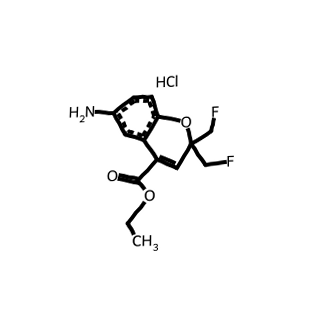 CCOC(=O)C1=CC(CF)(CF)Oc2ccc(N)cc21.Cl